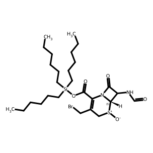 CCCCCC[Si](CCCCCC)(CCCCCC)OC(=O)C1=C(CBr)C[S+]([O-])[C@H]2C(NC=O)C(=O)N12